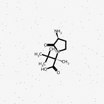 CC(C)(C)[C@](C)(C(=O)O)N1CC[C@H](N)C1=O